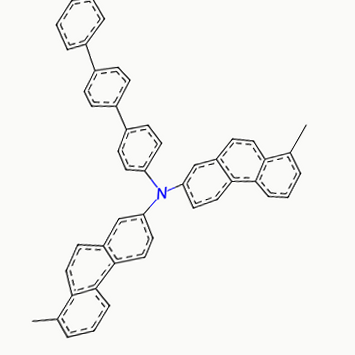 Cc1cccc2c1ccc1cc(N(c3ccc(-c4ccc(-c5ccccc5)cc4)cc3)c3ccc4c(ccc5c(C)cccc54)c3)ccc12